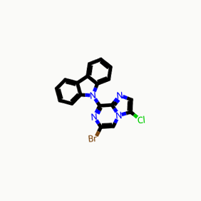 Clc1cnc2c(-n3c4ccccc4c4ccccc43)nc(Br)cn12